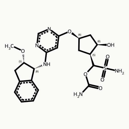 CO[C@H]1Cc2ccccc2[C@H]1Nc1cc(O[C@H]2C[C@@H](O)[C@@H](C(OC(N)=O)S(N)(=O)=O)C2)ncn1